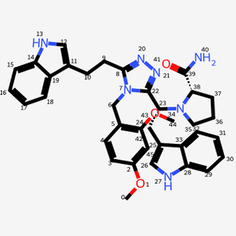 COc1ccc(Cn2c(CCc3c[nH]c4ccccc34)nnc2[C@@H](Cc2c[nH]c3ccccc23)N2CCC[C@H]2C(N)=O)c(OC)c1